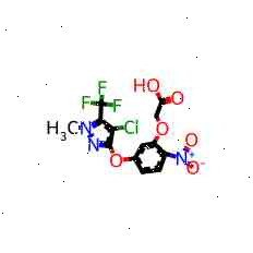 Cn1nc(Oc2ccc([N+](=O)[O-])c(OCC(=O)O)c2)c(Cl)c1C(F)(F)F